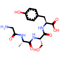 C[C@H](NC(=O)CN)C(=O)N[C@@H](CO)C(=O)N[C@@H](Cc1ccc(O)cc1)C(=O)O